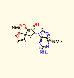 C=C[C@]1(C(=O)NC)C[C@@H](n2cnc3c(NC)nc(N)nc32)[C@@H](O)C1O